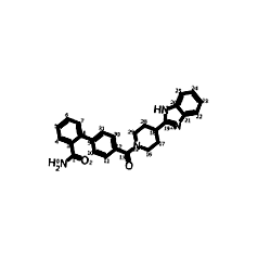 NC(=O)c1ccccc1-c1ccc(C(=O)N2CCC(c3nc4ccccc4[nH]3)CC2)cc1